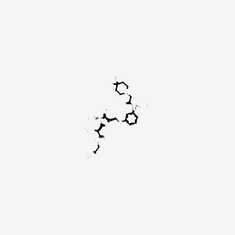 C#CCNC(=O)C(C#N)=c1sc(=CNc2cccc(N(C)C(=O)CN3CCC(F)(F)CC3)c2)c(=O)n1CC